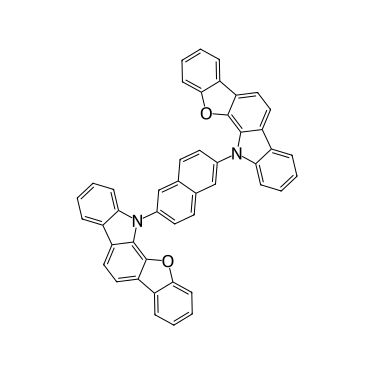 c1ccc2c(c1)oc1c2ccc2c3ccccc3n(-c3ccc4cc(-n5c6ccccc6c6ccc7c8ccccc8oc7c65)ccc4c3)c21